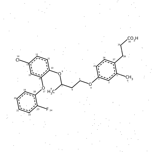 Cc1cc(OCCC(C)Oc2ccc(Cl)cc2Oc2ccccc2F)ccc1CCC(=O)O